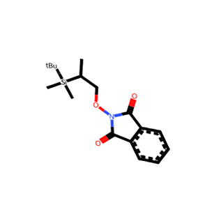 CC(CON1C(=O)c2ccccc2C1=O)[Si](C)(C)C(C)(C)C